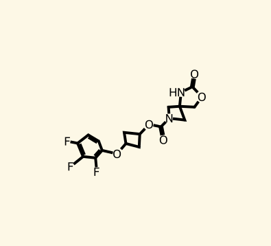 O=C1NC2(CO1)CN(C(=O)OC1CC(Oc3ccc(F)c(F)c3F)C1)C2